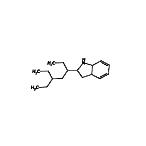 CCC(CC)CC(CC)C1CC2C=CC=CC2N1